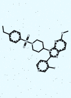 CCc1ccc(S(=O)(=O)N2CCC(n3c(-c4ccncc4F)nc4ccc(OC)nc43)CC2)cc1